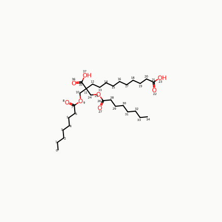 CCCCCCCC(=O)OCC(CCCCCCCCCC(=O)O)(COC(=O)CCCCCCC)C(=O)O